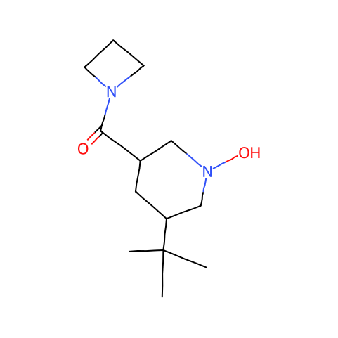 CC(C)(C)C1CC(C(=O)N2CCC2)CN(O)C1